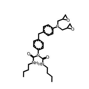 CCCCNC(=O)N(C(=O)NCCCC)c1ccc(Cc2ccc(N(CC3CO3)CC3CO3)cc2)cc1